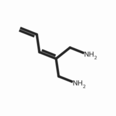 C=CC=C(CN)CN